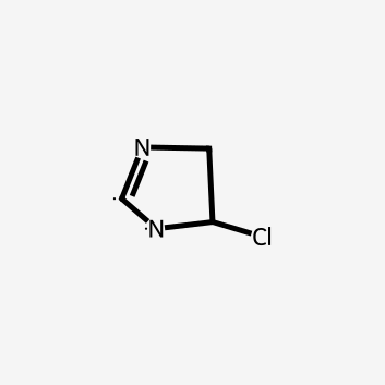 ClC1CN=[C][N]1